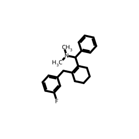 CN(C)C(C1=C(Cc2cccc(F)c2)CCCC1)c1ccccc1